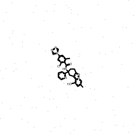 Cc1cc(O)c2c3c(nn2c1)CCC(NC(=O)c1c(C)cc(-n2cnnc2)cc1Cl)(c1ccccn1)C3